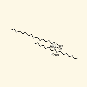 CCCCCCCCCCCCCCCC.CCCCCCCCCCCCCCCC.O=C(O)O.O=C(O)O.OO